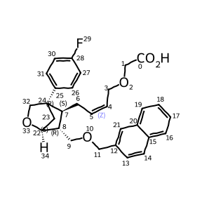 O=C(O)COC/C=C\C[C@H]1[C@H](COCc2ccc3ccccc3c2)[C@@H]2C[C@@]1(c1ccc(F)cc1)CO2